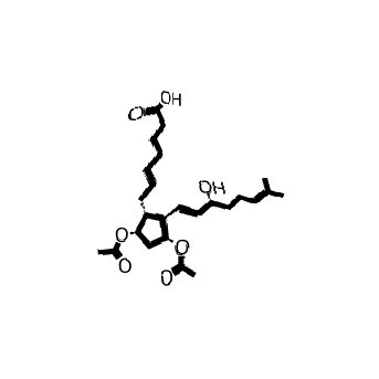 CC(=O)O[C@H]1C[C@@H](OC(C)=O)[C@H](C=C[C@H](O)CCC=C(C)C)[C@H]1CCCCCCC(=O)O